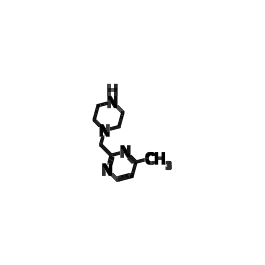 Cc1ccnc(CN2CCNCC2)n1